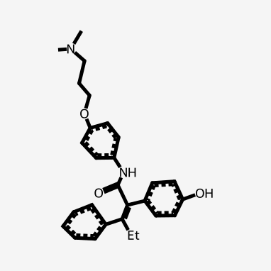 CCC(=C(C(=O)Nc1ccc(OCCCN(C)C)cc1)c1ccc(O)cc1)c1ccccc1